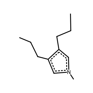 CCCc1cn(C)cc1CCC